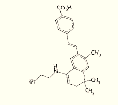 Cc1cc2c(cc1C=Cc1ccc(C(=O)O)cc1)C(NCCC(C)C)=CCC2(C)C